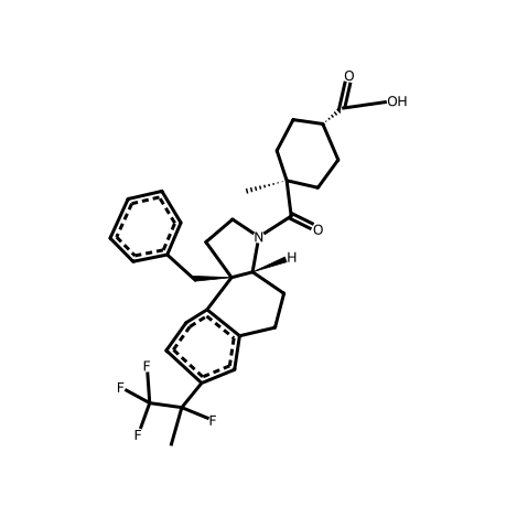 CC(F)(c1ccc2c(c1)CC[C@H]1N(C(=O)[C@]3(C)CC[C@@H](C(=O)O)CC3)CC[C@@]21Cc1ccccc1)C(F)(F)F